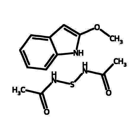 CC(=O)NSNC(C)=O.COc1cc2ccccc2[nH]1